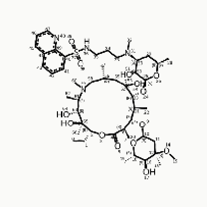 CC[C@H]1OC(=O)[C@H](C)[C@@H](O[C@H]2C[C@@](C)(OC)[C@@H](O)[C@H](C)O2)[C@H](C)[C@@H](O[C@@H]2O[C@H](C)C[C@H](N(C)CCCNS(=O)(=O)c3cccc4cccnc34)[C@H]2O)[C@](C)(O)C[C@@H](C)CN(C)[C@H](C)[C@@H](O)[C@]1(C)O